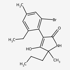 CCCC1(C)NC(=O)C(c2c(Br)cc(C)cc2CC)=C1O